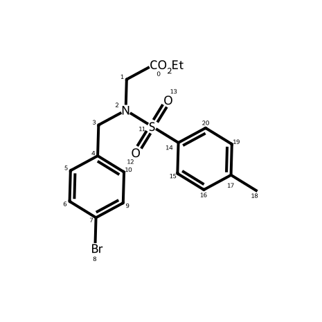 CCOC(=O)CN(Cc1ccc(Br)cc1)S(=O)(=O)c1ccc(C)cc1